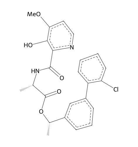 COc1ccnc(C(=O)N[C@@H](C)C(=O)O[C@@H](C)c2cccc(-c3ccccc3Cl)c2)c1O